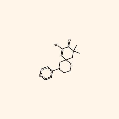 CC1(C)CC2(C=C(C#N)C1=O)CN(c1ccncc1)CCO2